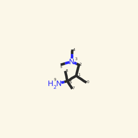 CC(CN(C)C)C(C)(C)N